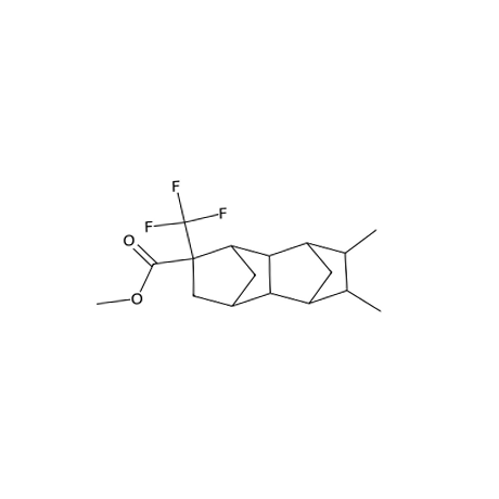 COC(=O)C1(C(F)(F)F)CC2CC1C1C3CC(C(C)C3C)C21